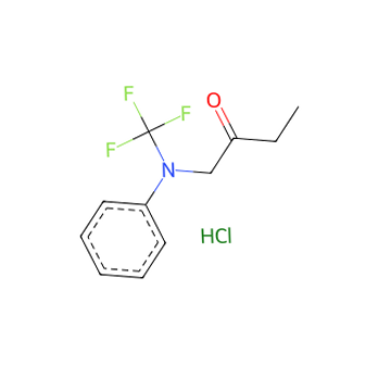 CCC(=O)CN(c1ccccc1)C(F)(F)F.Cl